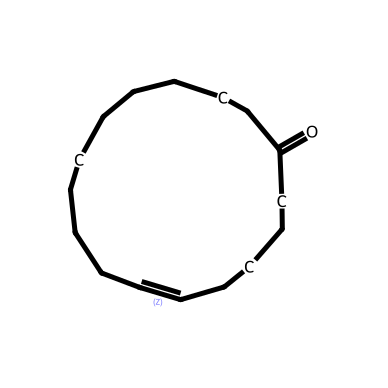 O=C1CCCC/C=C\CCCCCCCCC1